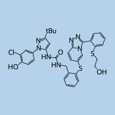 CC(C)(C)c1cc(NC(=O)NCc2ccccc2Sc2ccc3nnc(-c4ccccc4SCCO)n3c2)n(-c2ccc(O)c(Cl)c2)n1